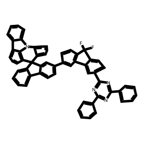 FC1(F)c2ccc(-c3ccc4c(c3)C3(c5ccccc5-4)c4ccccc4-n4c5ccccc5c5cccc3c54)cc2-c2cc(-c3nc(-c4ccccc4)nc(-c4ccccc4)n3)ccc21